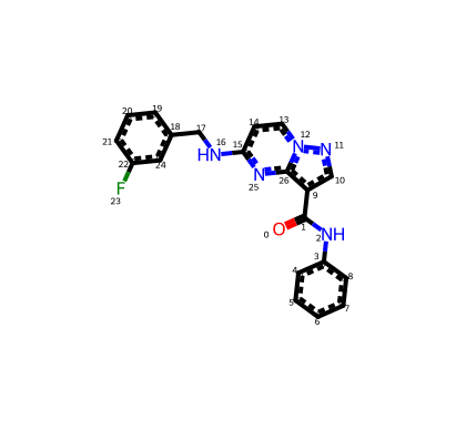 O=C(Nc1ccccc1)c1cnn2ccc(NCc3cccc(F)c3)nc12